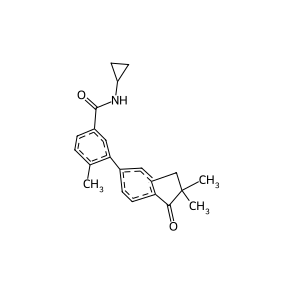 Cc1ccc(C(=O)NC2CC2)cc1-c1ccc2c(c1)CC(C)(C)C2=O